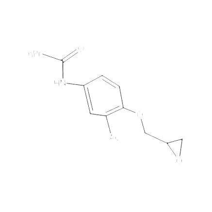 CCCC(=O)Nc1ccc(OCC2CO2)c(C(C)=O)c1